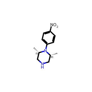 C[C@@H]1CNC[C@H](C)N1c1ccc([N+](=O)[O-])cc1